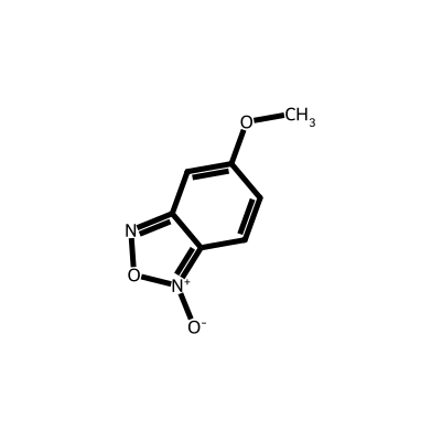 COc1ccc2c(c1)no[n+]2[O-]